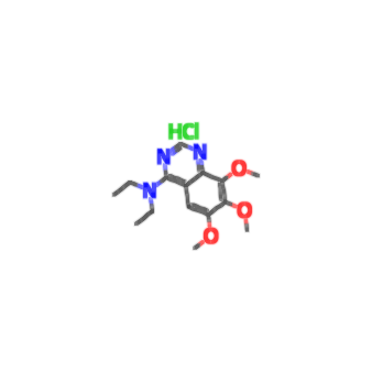 CCN(CC)c1ncnc2c(OC)c(OC)c(OC)cc12.Cl